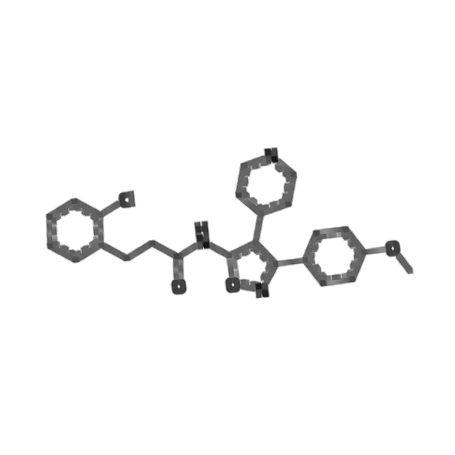 COc1ccc(-c2noc(NC(=O)CCc3ccccc3Cl)c2-c2ccncc2)cc1